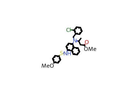 COC(=O)CC(C)N(Cc1ccccc1Cl)c1ccc(NSc2ccc(OC)cc2)c2ccccc12